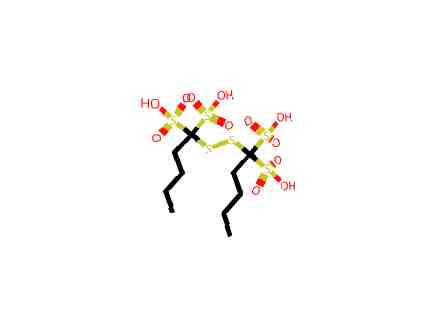 CCCCC(SSC(CCCC)(S(=O)(=O)O)S(=O)(=O)O)(S(=O)(=O)O)S(=O)(=O)O